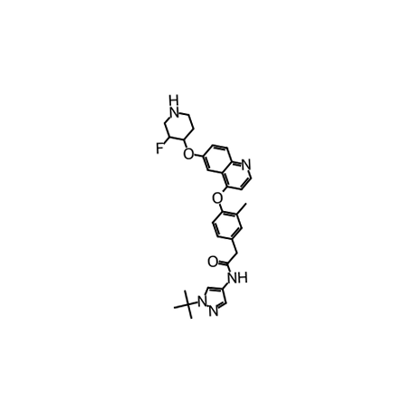 Cc1cc(CC(=O)Nc2cnn(C(C)(C)C)c2)ccc1Oc1ccnc2ccc(OC3CCNCC3F)cc12